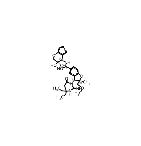 CCC1(CC)CC(=O)N([C@H]2c3cc(C(O)N[C@@H]4c5ccccc5OC[C@]4(C)O)ccc3O[C@]2(C)COC)C(=N)N1